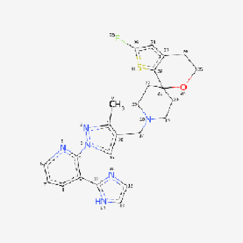 Cc1nn(-c2ncccc2-c2ncc[nH]2)cc1CN1CCC2(CC1)OCCc1cc(F)sc12